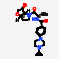 CC(C)(C)[C@H](NC(=O)c1ccc(N2CCN(C3CC3)CC2)cc1)C(=O)N1CC[C@@H]2OCC(=O)[C@H]21